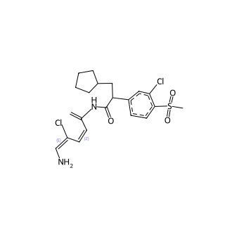 C=C(/C=C\C(Cl)=C/N)NC(=O)C(CC1CCCC1)c1ccc(S(C)(=O)=O)c(Cl)c1